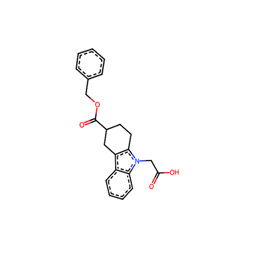 O=C(O)Cn1c2c(c3ccccc31)CC(C(=O)OCc1ccccc1)CC2